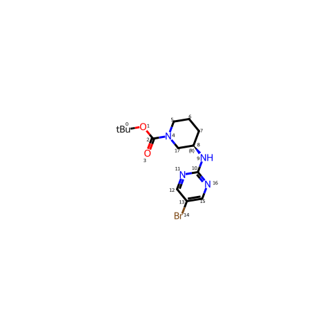 CC(C)(C)OC(=O)N1CCC[C@@H](Nc2ncc(Br)cn2)C1